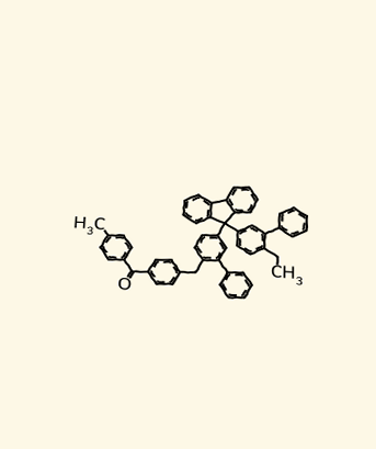 CCc1ccc(C2(c3ccc(Cc4ccc(C(=O)c5ccc(C)cc5)cc4)c(-c4ccccc4)c3)c3ccccc3-c3ccccc32)cc1-c1ccccc1